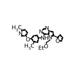 CCOCCn1c(-c2ccco2)cc2ncnc(Nc3ccc(Oc4ccc(C)nc4)c(C)c3)c21